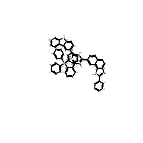 c1ccc(-c2nc3ccc4ccc(-c5nc(-c6ccc7oc8ccccc8c7c6)nc(-c6ccccc6[Si](c6ccccc6)(c6ccccc6)c6ccccc6)n5)cc4c3o2)cc1